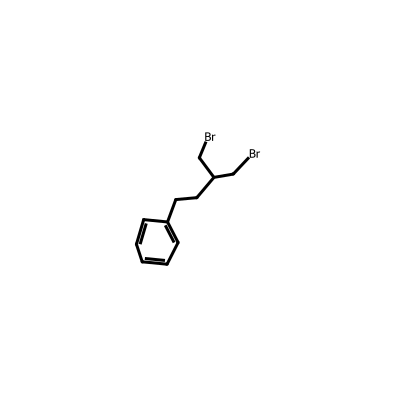 BrCC(CBr)CCc1ccccc1